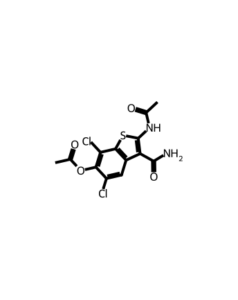 CC(=O)Nc1sc2c(Cl)c(OC(C)=O)c(Cl)cc2c1C(N)=O